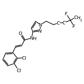 CC(F)(F)CCCCn1ccc(NC(=O)C=Cc2cccc(Cl)c2Cl)n1